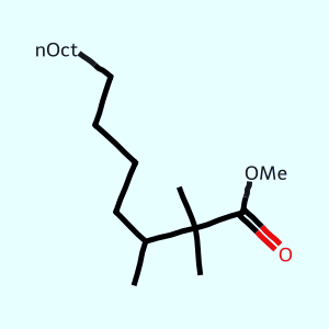 CCCCCCCCCCCCC(C)C(C)(C)C(=O)OC